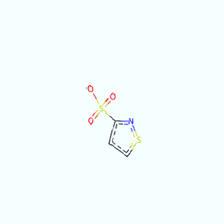 [O]S(=O)(=O)c1ccsn1